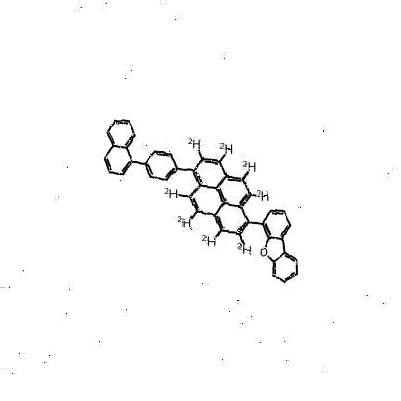 [2H]c1c([2H])c2c([2H])c([2H])c3c(-c4cccc5c4oc4ccccc45)c([2H])c([2H])c4c([2H])c([2H])c(c1-c1ccc(-c5cccc6ccccc56)cc1)c2c43